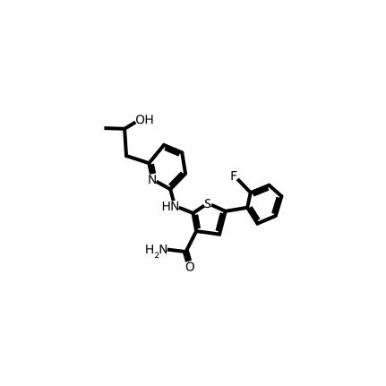 CC(O)Cc1cccc(Nc2sc(-c3ccccc3F)cc2C(N)=O)n1